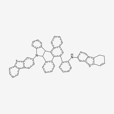 C1=Cc2sc3cc(Nc4ccccc4-c4cc5ccccc5c5c4-c4ccccc4C4C5c5ccccc5N4c4ccc5c(c4)sc4ccccc45)ccc3c2CC1